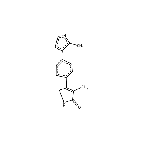 CC1=C(c2ccc(-n3ccnc3C)cc2)CNC1=O